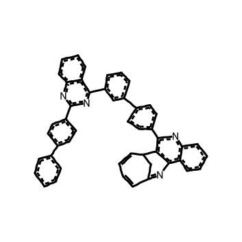 C1=CC2=Nc3c(c(-c4ccc(-c5cccc(-c6nc(-c7ccc(-c8ccccc8)cc7)nc7ccccc67)c5)cc4)nc4ccccc34)C(C=C1)C2